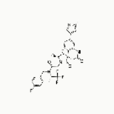 C[C@H](N(Cc1ccc(F)cc1)C(=O)CN1C(=O)NC2(CC(=O)Nc3cc(-c4cnn(C)c4)ccc32)C1=O)C(F)(F)F